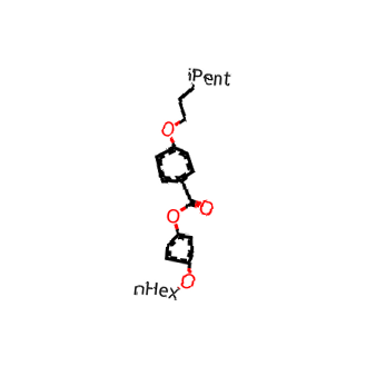 CCCCCCOc1ccc(OC(=O)c2ccc(OCCC[C@@H](C)CCC)cc2)cc1